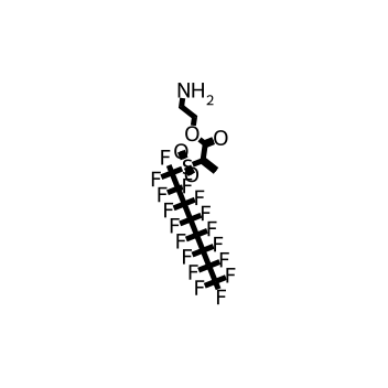 C=C(C(=O)OCCN)S(=O)(=O)C(F)(F)C(F)(F)C(F)(F)C(F)(F)C(F)(F)C(F)(F)C(F)(F)C(F)(F)F